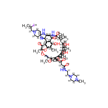 CO[C@H]1/C=C/O[C@@]2(C)Oc3c(C)c(O)c4c(c3C2=O)C2=NC3(CCN(CC(C)I)CC3)NC2=C(NC(=O)C(C)(C)C[C@H](O)[C@@H](C)[C@@H](O)[C@@H](C)[C@H](OC(=O)CC(=O)NCCN2CCN(C)CC2)[C@@H]1C)C4=O